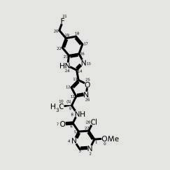 COc1ncnc(C(=O)N[C@@H](C)c2cc(-c3nc4ccc(CF)cc4[nH]3)on2)c1Cl